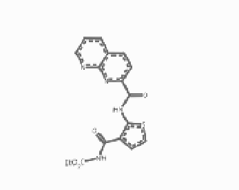 CCOC(=O)NC(=O)c1ccsc1NC(=O)c1ccc2cccnc2n1